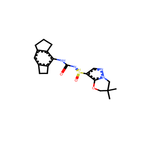 CC1(C)COc2c([SH](=O)=NC(=O)Nc3c4c(cc5c3CC5)CCC4)cnn2C1